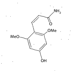 COc1cc(O)cc(OC)c1/C=C\C(N)=O